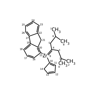 CC(C)C[C](CC(C)C)=[Zr]([C]1=CC=CC1)[c]1cccc2c1Cc1ccccc1-2